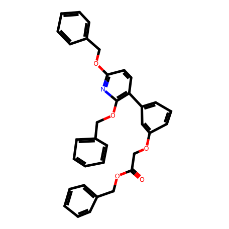 O=C(COc1cccc(-c2ccc(OCc3ccccc3)nc2OCc2ccccc2)c1)OCc1ccccc1